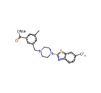 COC(=O)c1cc(C)cc(CN2CCN(c3nc4ccc(C(F)(F)F)cc4s3)CC2)c1